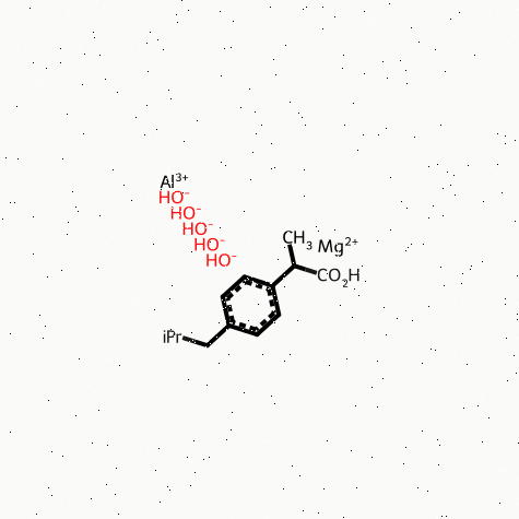 CC(C)Cc1ccc(C(C)C(=O)O)cc1.[Al+3].[Mg+2].[OH-].[OH-].[OH-].[OH-].[OH-]